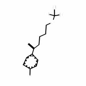 [2H]C([2H])([2H])OCCCCC(=O)c1ccc(C(F)(F)F)cc1